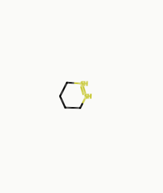 C1CC[SH]=[SH]C1